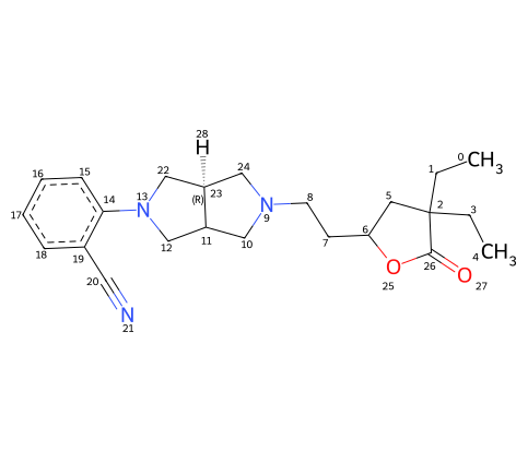 CCC1(CC)CC(CCN2CC3CN(c4ccccc4C#N)C[C@H]3C2)OC1=O